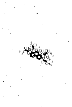 C=C(C)C(=C)Oc1c(OC(=O)C(=C)C)ccc2c1C(C)C(C)c1c-2ccc(OC(=O)C(=C)C)c1OC(=O)C(=C)C